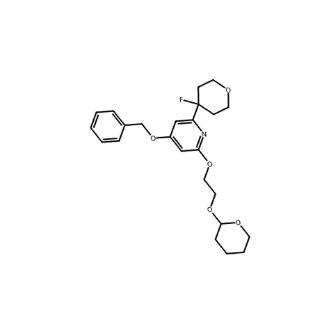 FC1(c2cc(OCc3ccccc3)cc(OCCOC3CCCCO3)n2)CCOCC1